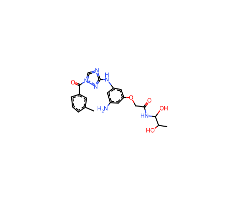 Cc1cccc(C(=O)n2cnc(Nc3cc(N)cc(OCC(=O)NC(O)C(C)O)c3)n2)c1